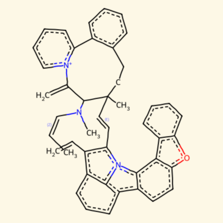 C=Cc1c(/C=C/C2(C)CCc3ccccc3-c3cccc[n+]3C(=C)C2N(C)/C=C\C)n2c3c1cccc3c1ccc3oc4ccccc4c3c12